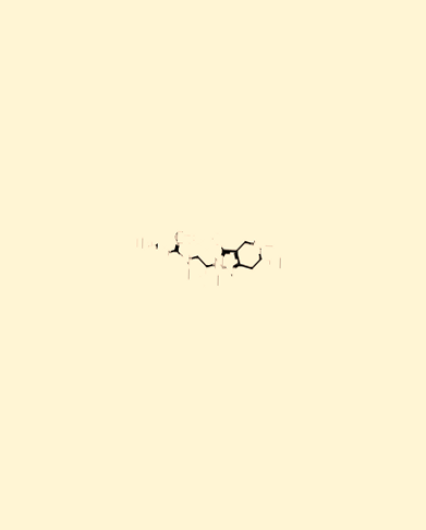 CCOC(=O)c1c2c(nn1[C@H](C)CNC(=O)OC(C)(C)C)C[C@@H](C)NC2